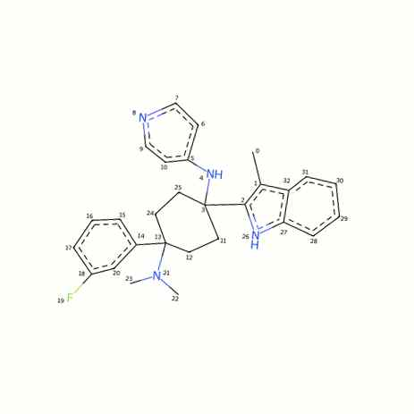 Cc1c(C2(Nc3ccncc3)CCC(c3cccc(F)c3)(N(C)C)CC2)[nH]c2ccccc12